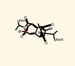 CCCCCC(C)n1c(=O)c2cc(Br)c(c1=O)c1c3cc(Br)c(c(=O)n(C(C)CCCCC)c3=O)c21